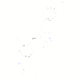 CCOC(=O)c1nnn(Cc2ccc(OC)cc2)c1C(=O)c1ccc(NC(=O)OC(C)(C)C)cc1N